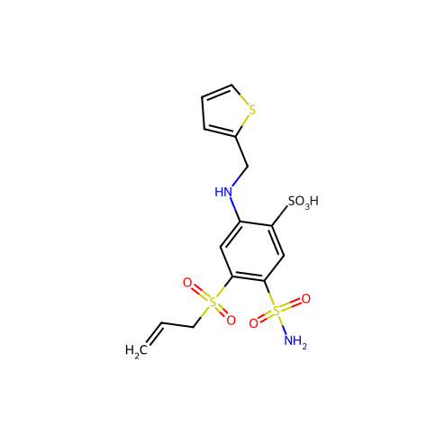 C=CCS(=O)(=O)c1cc(NCc2cccs2)c(S(=O)(=O)O)cc1S(N)(=O)=O